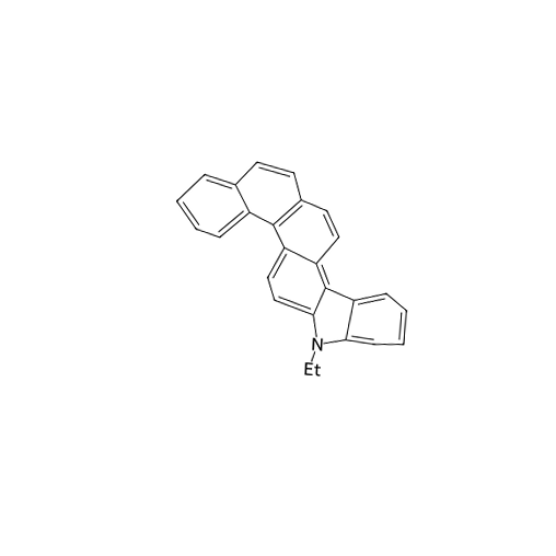 CCn1c2ccccc2c2c3ccc4ccc5ccccc5c4c3ccc21